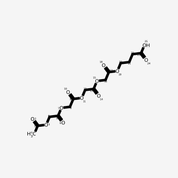 CC(=O)OCC(=O)OCC(=O)OCC(=O)OCC(=O)OCCCC(=O)O